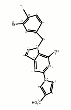 O=C(O)c1cnn(-c2nc(O)c3c(cnn3Cc3ccc(F)c(Br)c3)n2)c1